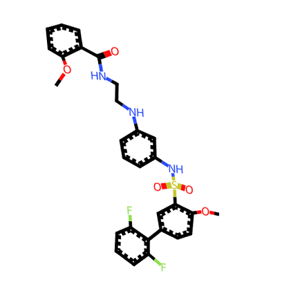 COc1ccccc1C(=O)NCCNc1cccc(NS(=O)(=O)c2cc(-c3c(F)cccc3F)ccc2OC)c1